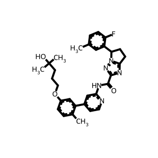 Cc1ccc(F)c(C2CCc3nc(C(=O)Nc4cc(-c5cc(OCCCC(C)(C)O)ccc5C)ccn4)nn32)c1